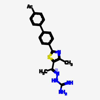 CC(=O)c1ccc(-c2ccc(-c3nc(C)c(/C(C)=N/NC(=N)N)s3)cc2)cc1